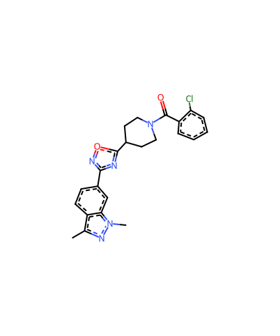 Cc1nn(C)c2cc(-c3noc(C4CCN(C(=O)c5ccccc5Cl)CC4)n3)ccc12